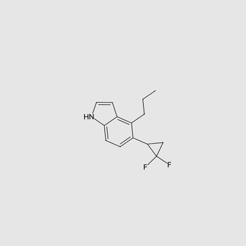 CCCc1c(C2CC2(F)F)ccc2[nH]ccc12